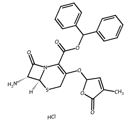 CC1=CC(OC2=C(C(=O)OC(c3ccccc3)c3ccccc3)N3C(=O)[C@@H](N)[C@@H]3SC2)OC1=O.Cl